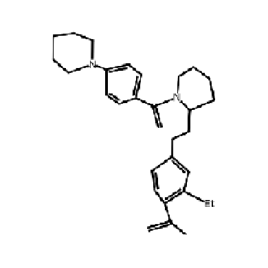 C=C(C)c1ccc(CCC2CCCCN2C(=C)c2ccc(N3CCCCC3)cc2)cc1CC